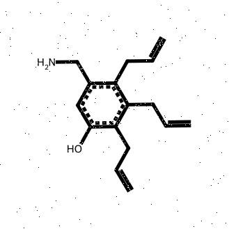 C=CCc1c(O)cc(CN)c(CC=C)c1CC=C